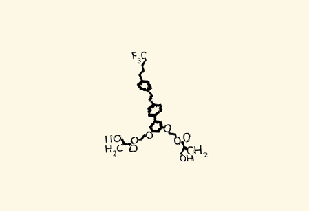 C=C(CO)C(=O)OCCOc1cc(OCCOC(=O)C(=C)CO)cc(-c2ccc(CCc3ccc(CCCCC(F)(F)F)cc3)cc2)c1